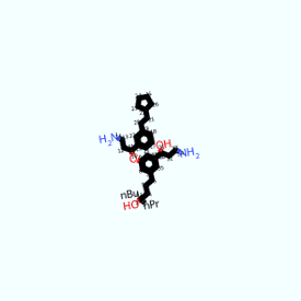 CCCCC(O)(CCC)CCCc1cc(OC(CCN)c2cccc(CCC3CCCC3)c2)cc(C(O)CCN)c1